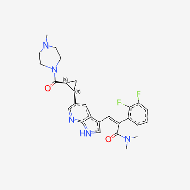 CN1CCN(C(=O)[C@H]2C[C@H]2c2cnc3[nH]cc(C=C(C(=O)N(C)C)c4cccc(F)c4F)c3c2)CC1